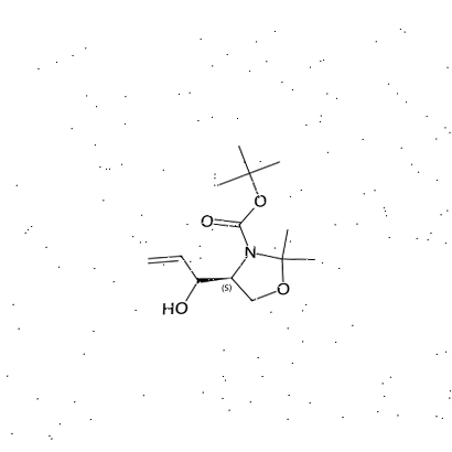 C=CC(O)[C@@H]1COC(C)(C)N1C(=O)OC(C)(C)C